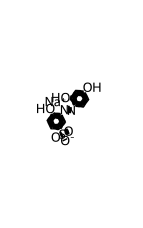 O=S(=O)([O-])c1ccc(O)c(/N=N/c2ccc(O)cc2O)c1.[Na+]